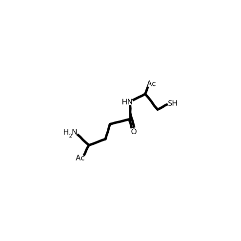 CC(=O)C(N)CCC(=O)NC(CS)C(C)=O